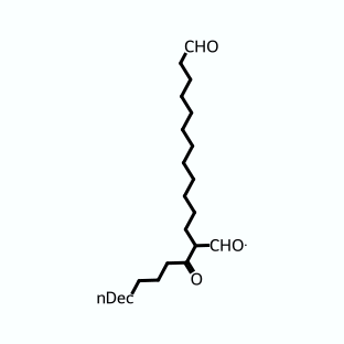 CCCCCCCCCCCCCC(=O)C([C]=O)CCCCCCCCCCCC=O